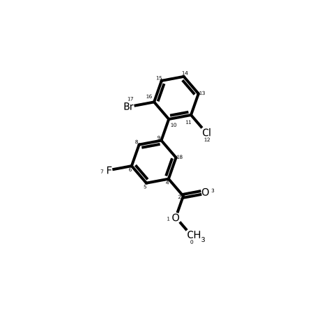 COC(=O)c1cc(F)cc(-c2c(Cl)cccc2Br)c1